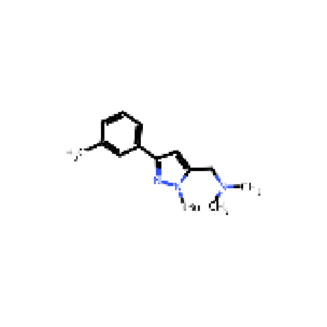 Cc1cccc(-c2cc(CN(C)C)n(C(C)(C)C)n2)c1